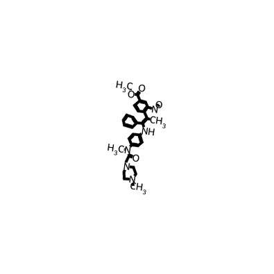 COC(=O)c1ccc(/C(C)=C(/Nc2ccc(N(C)C(=O)CN3CCN(C)CC3)cc2)c2ccccc2)c(N=O)c1